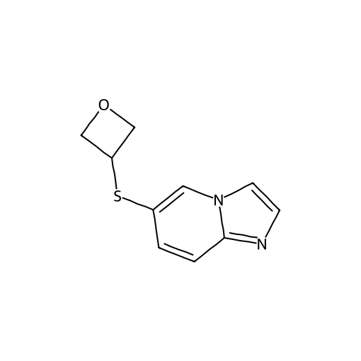 c1cn2cc(SC3COC3)ccc2n1